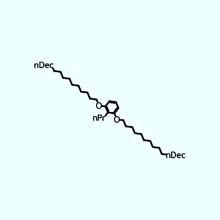 [CH2]CCc1c(OCCCCCCCCCCCCCCCCCCCC)cccc1OCCCCCCCCCCCCCCCCCCCC